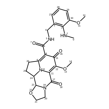 CNc1c(CNC(=O)c2c3n4c(c(OC)c2=O)C(=O)N2CCOC2C4CC3)cccc1OC